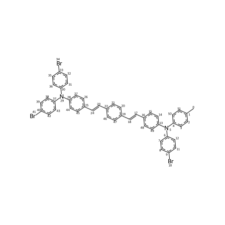 Cc1ccc(N(c2ccc(Br)cc2)c2ccc(/C=C/c3ccc(/C=C/c4ccc(N(c5ccc(Br)cc5)c5ccc(Br)cc5)cc4)cc3)cc2)cc1